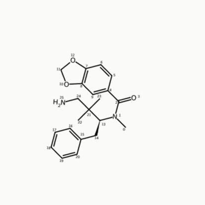 CN(C(=O)c1ccc2c(c1)OCO2)[C@@H](Cc1ccccc1)C(C)(C)CN